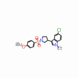 CC[C@@H](C)Oc1ccc(S(=O)(=O)N2CCC(c3cn(CC)c4ccc(Cl)cc34)C2)cc1